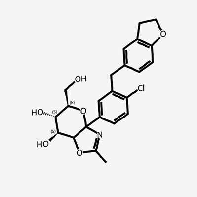 CC1=NC2(c3ccc(Cl)c(Cc4ccc5c(c4)CCO5)c3)O[C@H](CO)[C@@H](O)[C@H](O)C2O1